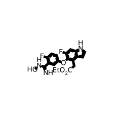 CCOC(=O)Cc1c(Oc2ccc(F)c(C(=N)NO)c2)c(F)cc2[nH]ccc12